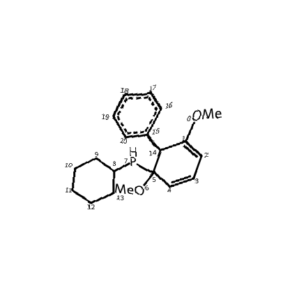 COC1=CC=CC(OC)(PC2CCCCC2)C1c1ccccc1